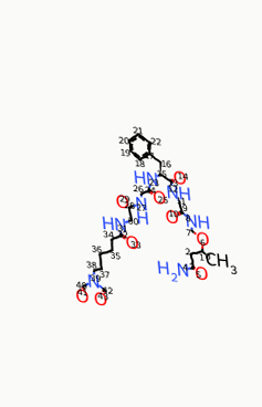 CC(CC(N)=O)OCNC(=O)CNC(=O)[C@H](Cc1ccccc1)NC(=O)CNC(=O)CNC(=O)CCCCCN(C=O)C=O